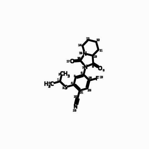 CC(C)Sc1cc(N2C(=O)C3CCCCN3C2=O)c(F)cc1C#N